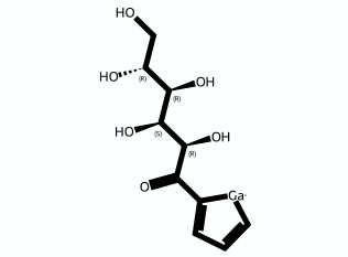 O=C([C]1=CC=[CH][Ga]1)[C@H](O)[C@@H](O)[C@H](O)[C@H](O)CO